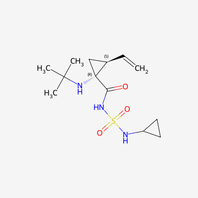 C=C[C@@H]1C[C@]1(NC(C)(C)C)C(=O)NS(=O)(=O)NC1CC1